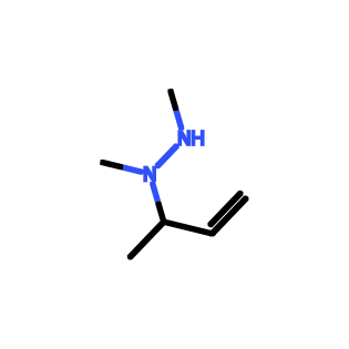 C=CC(C)N(C)NC